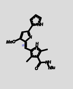 CCCCNC(=O)c1c(C)[nH]c(/C=C2\N=C(c3ccc[nH]3)C=C2OC)c1C